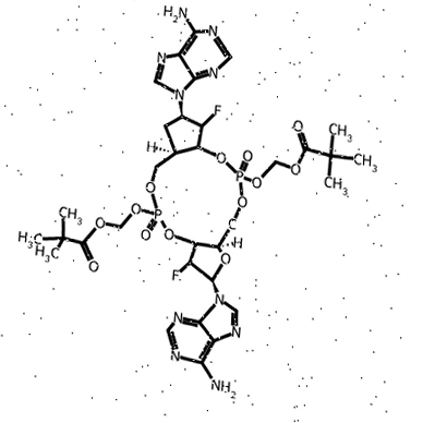 CC(C)(C)C(=O)OCOP1(=O)OC[C@H]2O[C@@H](n3cnc4c(N)ncnc43)C(F)C2OP(=O)(OCOC(=O)C(C)(C)C)OC[C@H]2C[C@@H](n3cnc4c(N)ncnc43)C(F)C2O1